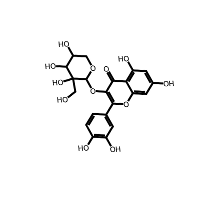 O=c1c(OC2OCC(O)C(O)C2(O)CO)c(-c2ccc(O)c(O)c2)oc2cc(O)cc(O)c12